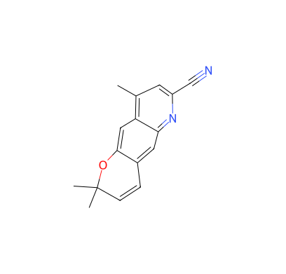 Cc1cc(C#N)nc2cc3c(cc12)OC(C)(C)C=C3